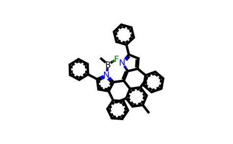 CB(F)n1c(-c2ccccc2)cc(-c2ccccc2)c1/C(=C1\N=C(c2ccccc2)C=C1c1ccccc1)c1c(C)cc(C)cc1C